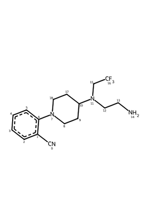 N#Cc1ccccc1N1CCC(N(CCN)CC(F)(F)F)CC1